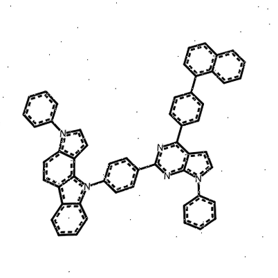 c1ccc(-n2ccc3c2ccc2c4ccccc4n(-c4ccc(-c5nc(-c6ccc(-c7cccc8ccccc78)cc6)c6ccn(-c7ccccc7)c6n5)cc4)c23)cc1